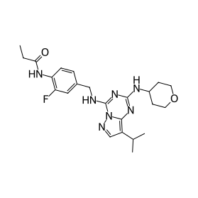 CCC(=O)Nc1ccc(CNc2nc(NC3CCOCC3)nc3c(C(C)C)cnn23)cc1F